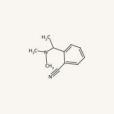 [CH2]C(c1ccccc1C#N)N(C)C